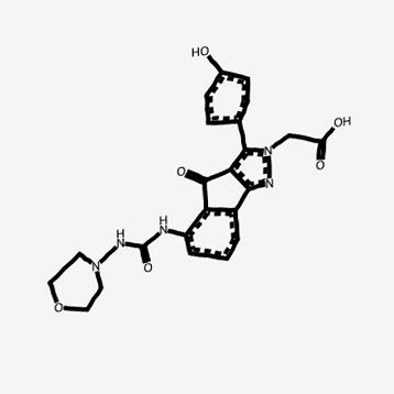 O=C(O)Cn1nc2c(c1-c1ccc(O)cc1)C(=O)c1c(NC(=O)NN3CCOCC3)cccc1-2